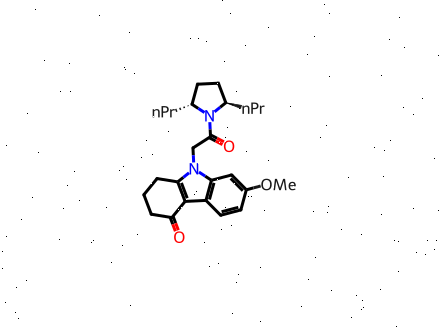 CCC[C@@H]1CC[C@@H](CCC)N1C(=O)Cn1c2c(c3ccc(OC)cc31)C(=O)CCC2